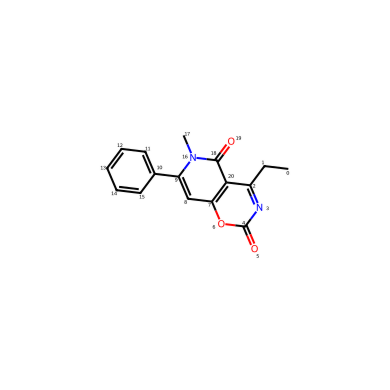 CCc1nc(=O)oc2cc(-c3ccccc3)n(C)c(=O)c12